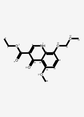 CCOC(=O)c1c[nH]c2c(OCOC)ccc(OC)c2c1=O